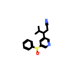 CC(C)C(CC#N)c1cncc([S+]([O-])c2ccccc2)c1